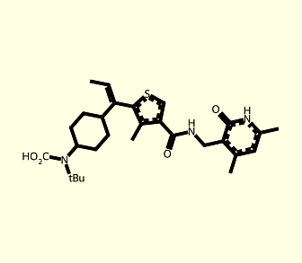 CC=C(c1scc(C(=O)NCc2c(C)cc(C)[nH]c2=O)c1C)C1CCC(N(C(=O)O)C(C)(C)C)CC1